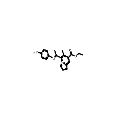 CCOC(=O)c1cc2cccn2c(C(C)Oc2ccc(N)cc2)c1C